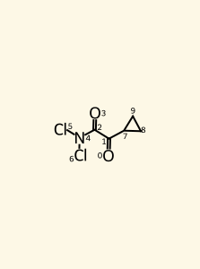 O=C(C(=O)N(Cl)Cl)C1CC1